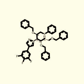 Fc1cc(-c2cnn([C@@H]3[C@@H](OCc4ccccc4)[C@@H](COCc4ccccc4)[SH](c4ccccc4)C[C@@H]3OCc3ccccc3)c2)cc(F)c1F